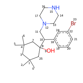 CC1(C)CC(C)(C)CC(O)(C(CN2CCNCC2)c2cccc(Br)c2)C1